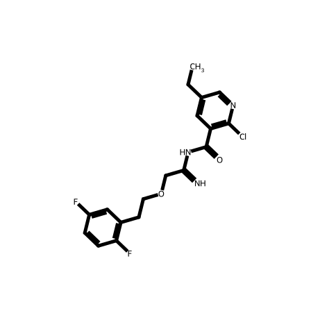 CCc1cnc(Cl)c(C(=O)NC(=N)COCCc2cc(F)ccc2F)c1